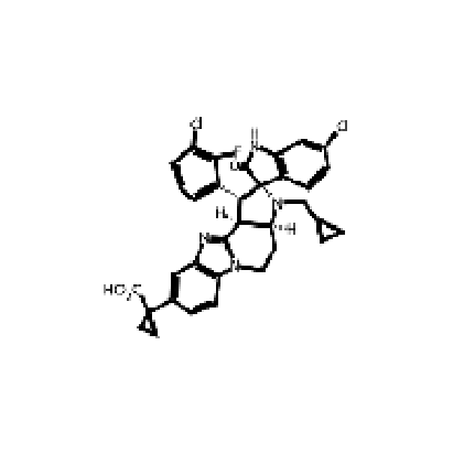 O=C(O)C1(c2ccc3c(c2)nc2n3CC[C@H]3[C@@H]2[C@H](c2cccc(Cl)c2F)[C@]2(C(=O)Nc4cc(Cl)ccc42)N3CC2CC2)CC1